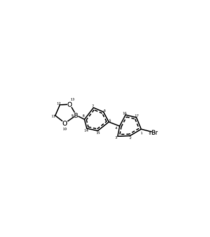 Brc1ccc(-c2ccc(B3OCCO3)cc2)cc1